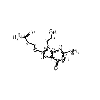 NC(=O)CCSc1nc2c(=O)[nH]c(N)nc2n1CCO